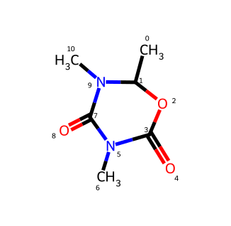 CC1OC(=O)N(C)C(=O)N1C